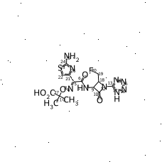 CC(C)(ON=C(C(=O)NC1C(=O)N(c2nnn[nH]2)C1CF)c1csc(N)n1)C(=O)O